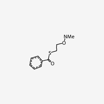 CNOCCSC(=O)c1ccccc1